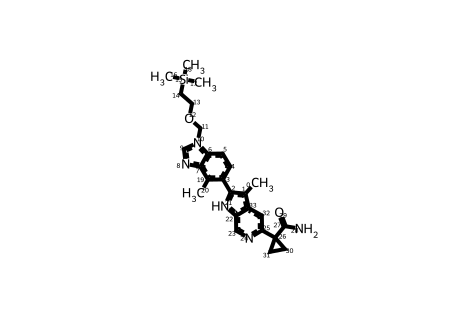 Cc1c(-c2ccc3c(ncn3COCC[Si](C)(C)C)c2C)[nH]c2cnc(C3(C(N)=O)CC3)cc12